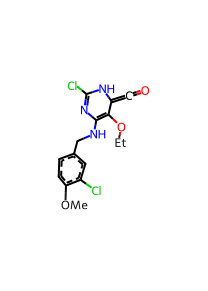 CCOC1=C(NCc2ccc(OC)c(Cl)c2)N=C(Cl)NC1=C=O